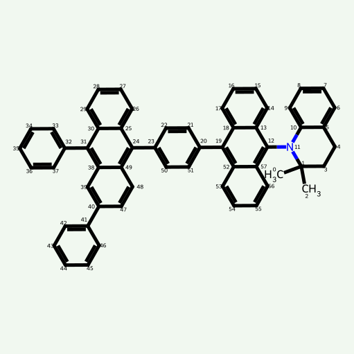 CC1(C)CCc2ccccc2N1c1c2ccccc2c(-c2ccc(-c3c4ccccc4c(-c4ccccc4)c4cc(-c5ccccc5)ccc34)cc2)c2ccccc12